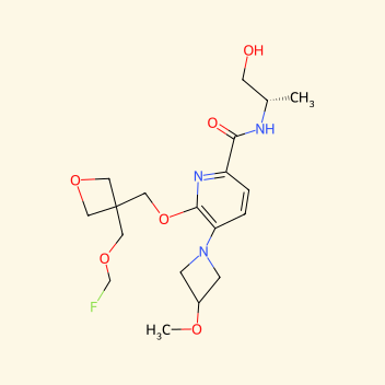 COC1CN(c2ccc(C(=O)N[C@@H](C)CO)nc2OCC2(COCF)COC2)C1